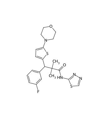 CC(C)(C(=O)Nc1nncs1)C(c1cccc(F)c1)c1ccc(N2CCOCC2)s1